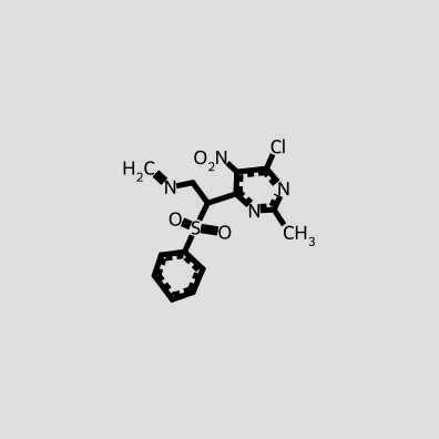 C=NCC(c1nc(C)nc(Cl)c1[N+](=O)[O-])S(=O)(=O)c1ccccc1